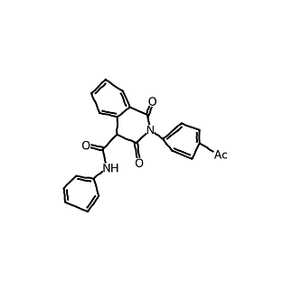 CC(=O)c1ccc(N2C(=O)c3ccccc3C(C(=O)Nc3ccccc3)C2=O)cc1